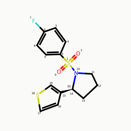 O=S(=O)(c1ccc(F)cc1)N1CCC[C@H]1c1ccsc1